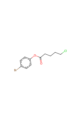 O=C(CCCCCl)Oc1ccc(Br)cc1